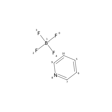 F[B-](F)(F)F.c1ccncc1